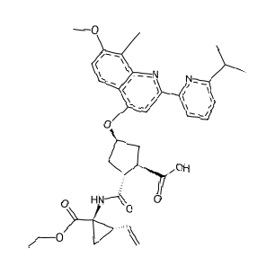 C=C[C@@H]1C[C@]1(NC(=O)[C@@H]1C[C@@H](Oc2cc(-c3cccc(C(C)C)n3)nc3c(C)c(OC)ccc23)C[C@H]1C(=O)O)C(=O)OCC